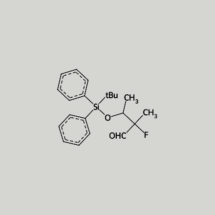 CC(O[Si](c1ccccc1)(c1ccccc1)C(C)(C)C)C(C)(F)C=O